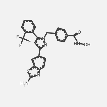 Nc1nc2ccc(-c3cc(-c4ccccc4C(F)(F)F)n(Cc4ccc(C(=O)NO)cc4)n3)cc2s1